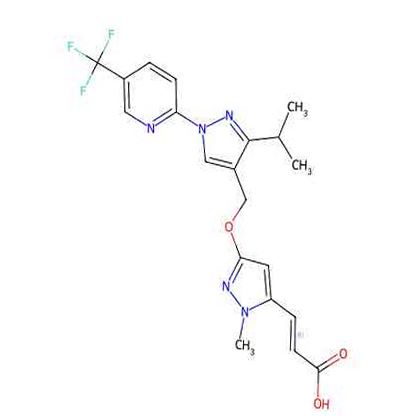 CC(C)c1nn(-c2ccc(C(F)(F)F)cn2)cc1COc1cc(/C=C/C(=O)O)n(C)n1